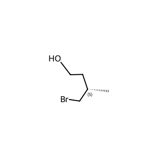 C[C@H](CBr)CCO